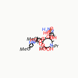 CCCN1CC(C)CC(C)(O)C(O[C@@H]2O[C@H](C)C[C@H](N(C)S(N)(=O)=O)[C@H]2O)C(C)C(O[C@H]2C[C@@](C)(OC)[C@](O)(CNc3ccc(OC)cc3)[C@H](C)O2)C(C)C(=O)OC(CC)C(C)(O)C(O)C1C